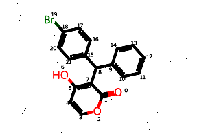 O=c1occc(O)c1C(c1ccccc1)c1ccc(Br)cc1